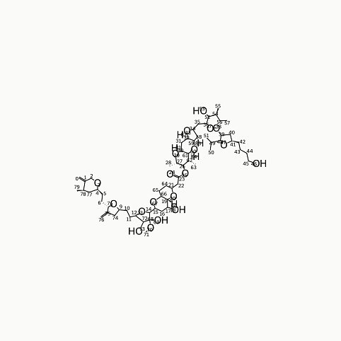 C=C1CO[C@@H](CC[C@@H]2OC(CCC3OC(C4CC(O)[C@H]5OC(CC(=O)OC6[C@H](C)O[C@H]7C[C@H]8OC(CC(OOC9C[C@@H](CCCCO)OC9C(C)C)C(O)[C@@H](C)CC)C[C@H]8O[C@H]7[C@@H]6C)CCC5O4)[C@](O)(OC)C3O)CC2=C)C[C@H]1C